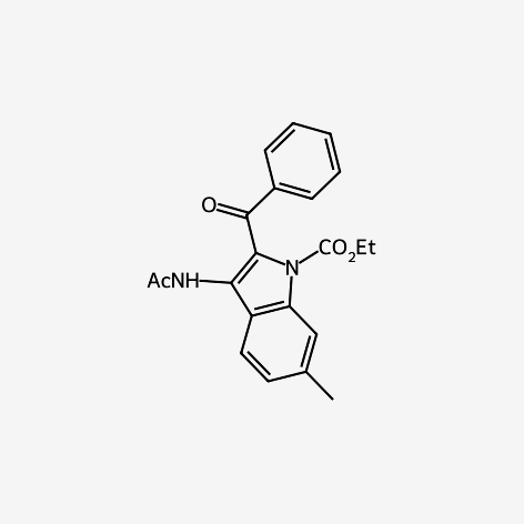 CCOC(=O)n1c(C(=O)c2ccccc2)c(NC(C)=O)c2ccc(C)cc21